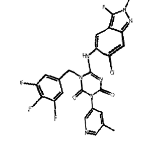 Cc1cncc(-n2c(=O)nc(Nc3cc4c(F)n(C)nc4cc3Cl)n(Cc3cc(F)c(F)c(F)c3)c2=O)c1